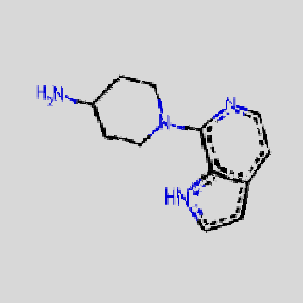 NC1CCN(c2nccc3cc[nH]c23)CC1